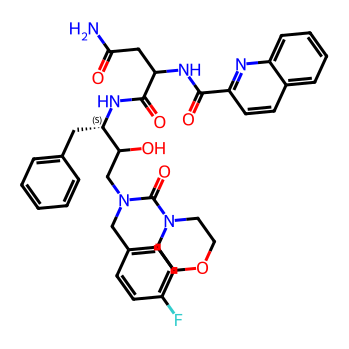 NC(=O)CC(NC(=O)c1ccc2ccccc2n1)C(=O)N[C@@H](Cc1ccccc1)C(O)CN(Cc1ccc(F)cc1)C(=O)N1CCOCC1